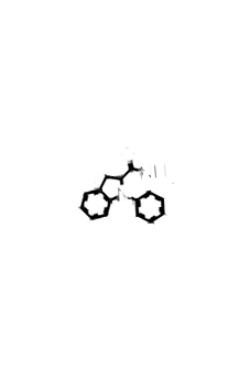 NC(=O)C1Cc2ccccc2N1c1ccccc1